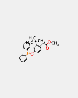 COC(=O)Cc1ccc(OP(c2ccccc2)c2ccccc2)cc1C(C)(C)C